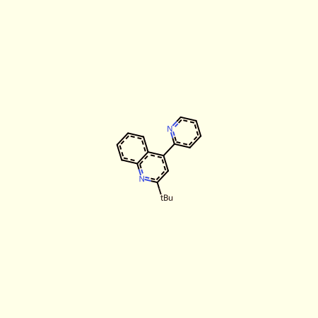 CC(C)(C)c1cc(-c2ccccn2)c2ccccc2n1